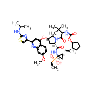 C=C[C@@H]1C[C@]1(NC(=O)[C@@H]1C[C@@H](Oc2cc(-c3csc(NC(C)C)n3)nc3cc(OC)ccc23)CN1C(=O)C(NC(=O)OC1CCCC1)C(C)(C)C)P(=O)(O)C=C